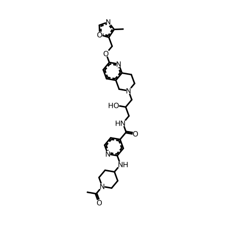 CC(=O)N1CCC(Nc2cc(C(=O)NCC(O)CN3CCc4nc(OCc5ocnc5C)ccc4C3)ccn2)CC1